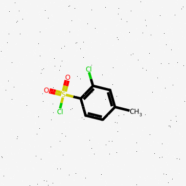 Cc1ccc(S(=O)(=O)Cl)c(Cl)c1